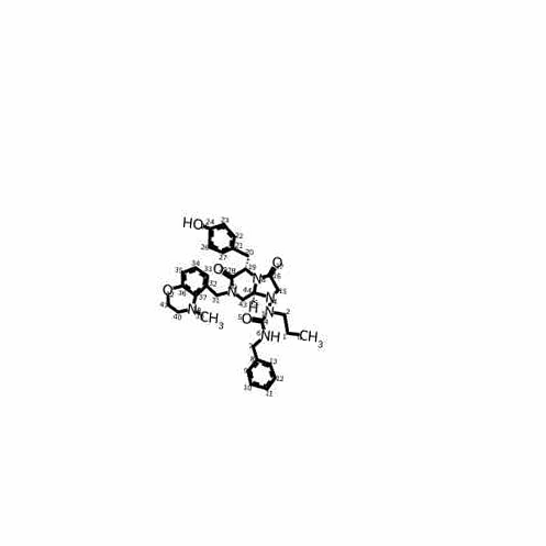 CCCN(C(=O)NCc1ccccc1)N1CC(=O)N2[C@@H](Cc3ccc(O)cc3)C(=O)N(Cc3cccc4c3N(C)CCO4)C[C@@H]21